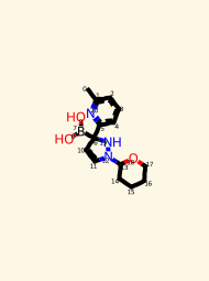 Cc1cccc(C2(B(O)O)C=CN(C3CCCCO3)N2)n1